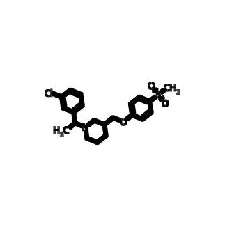 CC(c1cccc(Cl)c1)N1CCCC(COc2ccc(S(C)(=O)=O)cc2)C1